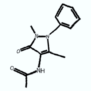 CC(=O)Nc1c(C)n(-c2ccccc2)n(C)c1=O